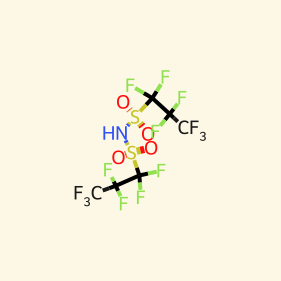 O=S(=O)(NS(=O)(=O)C(F)(F)C(F)(F)C(F)(F)F)C(F)(F)C(F)(F)C(F)(F)F